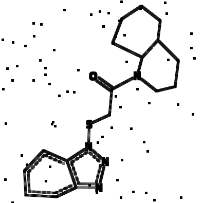 O=C(CSn1nnc2ccccc21)N1CCCC2CCCCC21